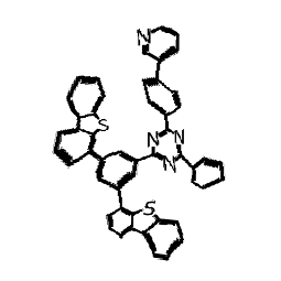 c1ccc(-c2nc(-c3ccc(-c4cccnc4)cc3)nc(-c3cc(-c4cccc5c4sc4ccccc45)cc(-c4cccc5c4sc4ccccc45)c3)n2)cc1